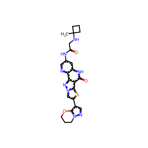 CC1(NCC(=O)Nc2cnc3c(c2)[nH]c(=O)c2c3nn3cc(-c4cnn5c4OCCC5)sc23)CCC1